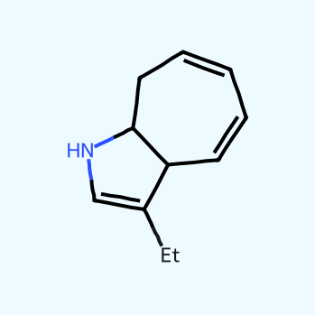 CCC1=CNC2CC=CC=CC12